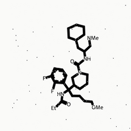 CCC(=O)NC(CCCCOC)(c1cccc(F)c1F)C1CCCN(C(=O)NC(CNC)CC2CCCCC2)C1